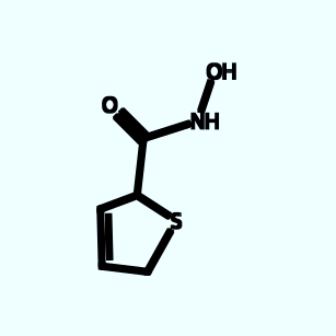 O=C(NO)C1C=CCS1